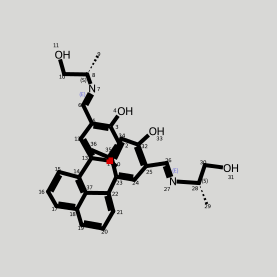 Cc1cc(O)c(/C=N/[C@@H](C)CO)cc1-c1cccc2cccc(-c3cc(/C=N/[C@@H](C)CO)c(O)cc3C)c12